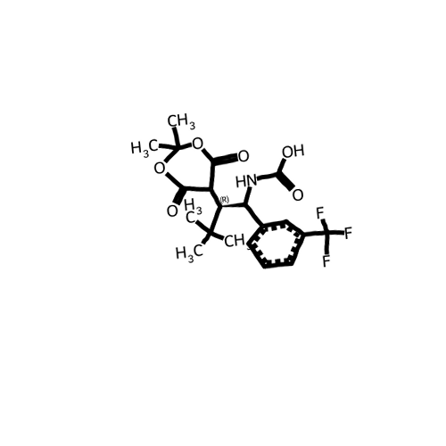 CC1(C)OC(=O)C([C@@H](C(NC(=O)O)c2cccc(C(F)(F)F)c2)C(C)(C)C)C(=O)O1